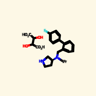 CC(C)N(Cc1ccccc1-c1ccc(F)cc1)[C@H]1CCNC1.O=C(O)C(O)C(O)C(=O)O